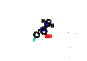 Oc1cccc([C@H]2C[C@H]3CC[C@@H](C2)N3CCNCc2ccc(F)cc2)c1